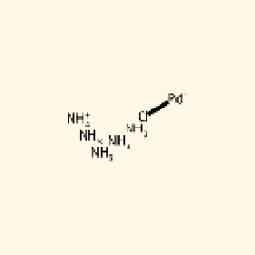 N.N.N.N.[Cl][Pd-].[NH4+]